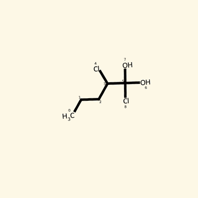 CCCC(Cl)C(O)(O)Cl